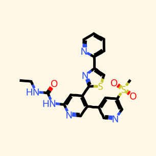 CCNC(=O)Nc1cc(-c2nc(-c3ccccn3)cs2)c(-c2cncc(S(C)(=O)=O)c2)cn1